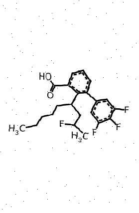 CCCCCC(CC(C)F)c1c(C(=O)O)cccc1-c1cc(F)c(F)c(F)c1